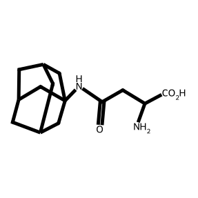 NC(CC(=O)NC12CC3CC(CC(C3)C1)C2)C(=O)O